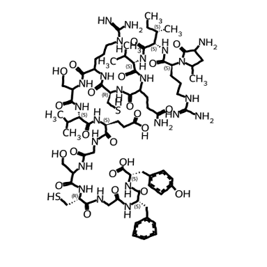 CC[C@H](C)[C@H](NC(=O)[C@H](CCCNC(=N)N)N1C(=O)C(N)CC1C)C(=O)N[C@H](C(=O)NC(CCC(N)=O)C(=O)N[C@@H](CS)C(=O)NC(CCCNC(=N)N)C(=O)NC(CO)C(=O)N[C@H](C(=O)N[C@@H](CCC(=O)O)C(=O)NCC(=O)NC(CO)C(=O)N[C@@H](CS)C(=O)NCC(=O)N[C@@H](Cc1ccccc1)C(=O)N[C@@H](Cc1ccc(O)cc1)C(=O)O)C(C)C)C(C)C